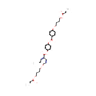 C=C/C=C(\C=C/COCCCCOC(=O)C=C)C(=O)Oc1ccc(OC(=O)c2ccc(OCCCCOC(=O)C=C)cc2)cc1